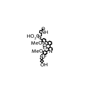 COc1cc(-c2nccc(-c3cccc(-c4ccc(CN(CC5CCC(=O)N5)C(=O)O)c(OC)n4)c3Cl)c2Cl)cc(F)c1CN1CC2(CC(O)C2)C1